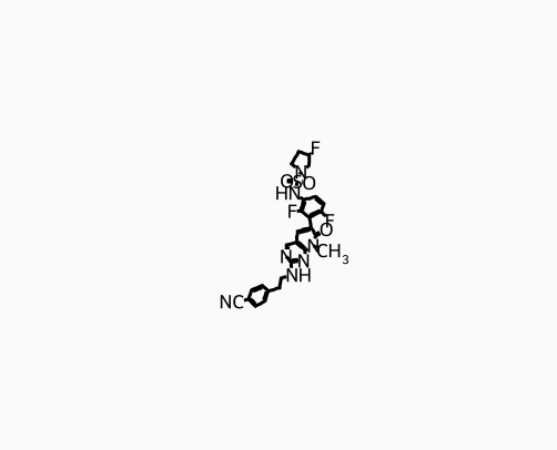 Cn1c(=O)c(-c2c(F)ccc(NS(=O)(=O)N3CC[C@@H](F)C3)c2F)cc2cnc(NCCc3ccc(C#N)cc3)nc21